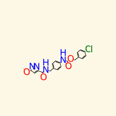 COc1cc(C(=O)NCc2ccc(NC(=O)OCc3ccc(Cl)cc3)cc2)n(C)n1